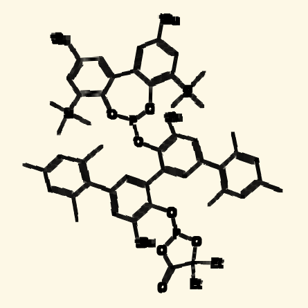 CCC1(CC)OP(Oc2c(-c3cc(-c4c(C)cc(C)cc4C)cc(C(C)(C)C)c3Op3oc4c([Si](C)(C)C)cc(C(C)(C)C)cc4c4cc(C(C)(C)C)cc([Si](C)(C)C)c4o3)cc(-c3c(C)cc(C)cc3C)cc2C(C)(C)C)OC1=O